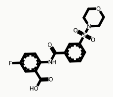 O=C(Nc1ccc(F)cc1C(=O)O)c1cccc(S(=O)(=O)N2CCOCC2)c1